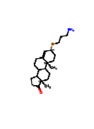 C[C@]12CC[C@@H](SCCCN)C=C1CCC1C2CC[C@]2(C)C(=O)CCC12